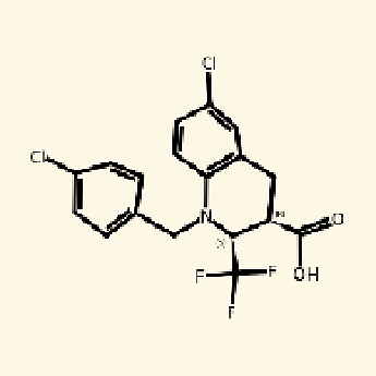 O=C(O)[C@@H]1Cc2cc(Cl)ccc2N(Cc2ccc(Cl)cc2)[C@@H]1C(F)(F)F